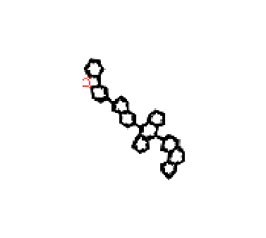 c1ccc2c(c1)ccc1ccc(-c3c4ccccc4c(-c4ccc5cc(-c6ccc7oc8ccccc8c7c6)ccc5c4)c4ccccc34)cc12